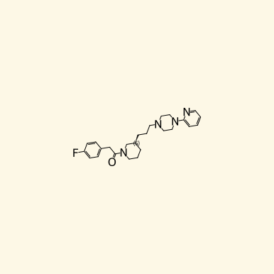 O=C(Cc1ccc(F)cc1)N1CCC[C@H](CCCN2CCN(c3ccccn3)CC2)C1